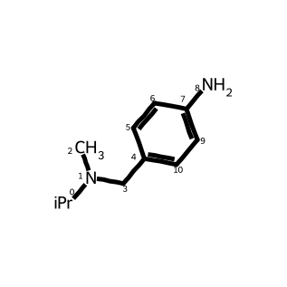 CC(C)N(C)Cc1ccc(N)cc1